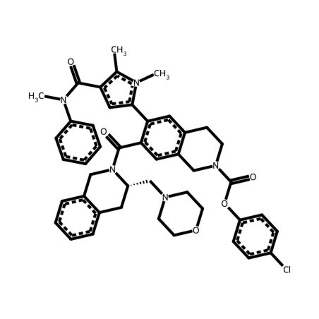 Cc1c(C(=O)N(C)c2ccccc2)cc(-c2cc3c(cc2C(=O)N2Cc4ccccc4C[C@H]2CN2CCOCC2)CN(C(=O)Oc2ccc(Cl)cc2)CC3)n1C